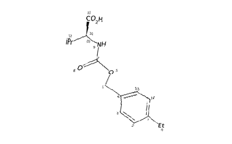 CCc1ccc(COC(=O)N[C@H](C(=O)O)C(C)C)cc1